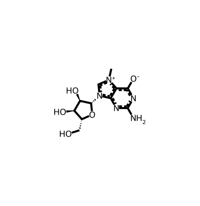 C[n+]1cn([C@@H]2O[C@H](CO)[C@@H](O)[C@H]2O)c2nc(N)nc([O-])c21